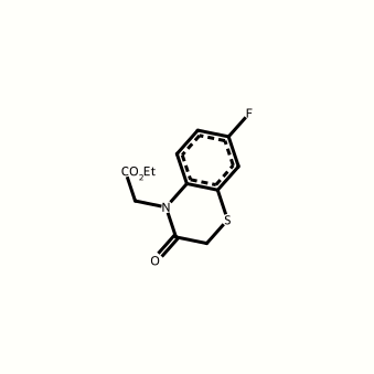 CCOC(=O)CN1C(=O)CSc2cc(F)ccc21